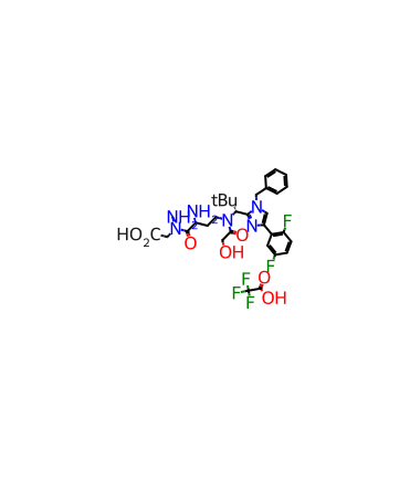 CC(C)(C)[C@H](c1nc(-c2cc(F)ccc2F)cn1Cc1ccccc1)N(CC[C@H](N)C(=O)N(N)CC(=O)O)C(=O)CO.O=C(O)C(F)(F)F